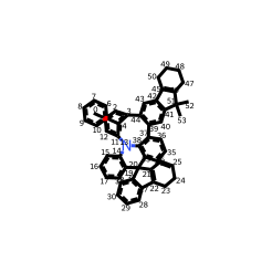 Cc1cc2c(-c3ccccc3)c(c1)N1c3ccccc3C3(C4=C(CCC=C4)c4ccccc43)c3cccc(c31)-c1cc3c(cc1-2)C1=C(CCCC1)C3(C)C